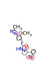 COc1cc(/C=C/C(=O)NN2CCCC(c3ccccc3[N+](=O)[O-])C2=O)ccc1-n1cnc(C)c1